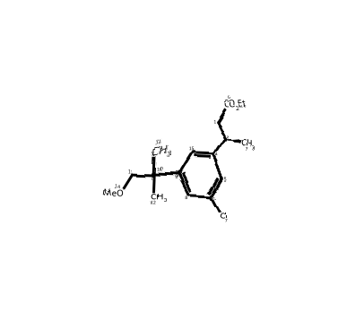 CCOC(=O)C[C@@H](C)c1cc(Cl)cc(C(C)(C)COC)c1